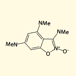 CNc1cc(NC)c2c(NC)[n+]([O-])oc2c1